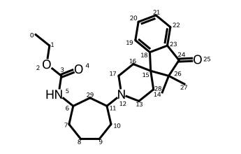 CCOC(=O)NC1CCCCC(N2CCC3(CC2)c2ccccc2C(=O)C3(C)C)C1